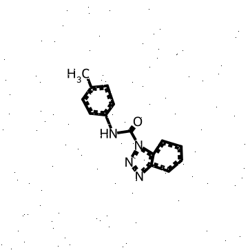 Cc1ccc(NC(=O)n2nnc3ccccc32)cc1